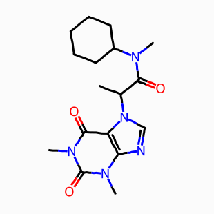 CC(C(=O)N(C)C1CCCCC1)n1cnc2c1c(=O)n(C)c(=O)n2C